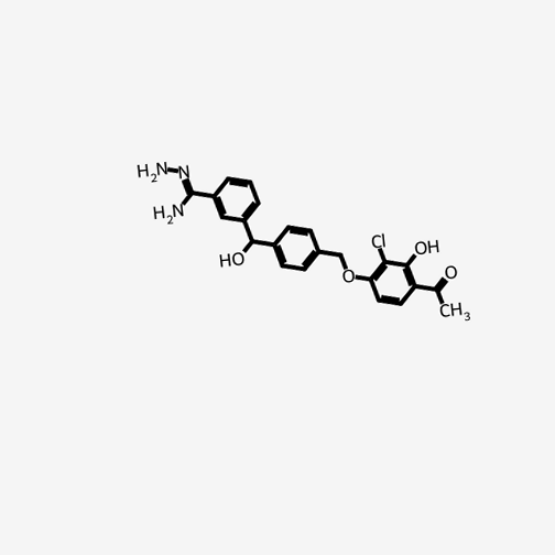 CC(=O)c1ccc(OCc2ccc(C(O)c3cccc(/C(N)=N/N)c3)cc2)c(Cl)c1O